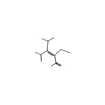 O=C(O)C(CF)=C(C(F)Cl)C(F)Cl